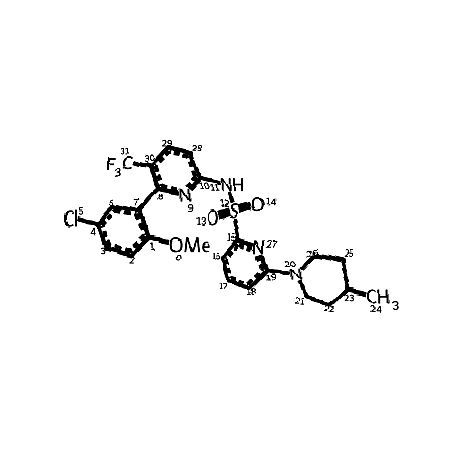 COc1ccc(Cl)cc1-c1nc(NS(=O)(=O)c2cccc(N3CCC(C)CC3)n2)ccc1C(F)(F)F